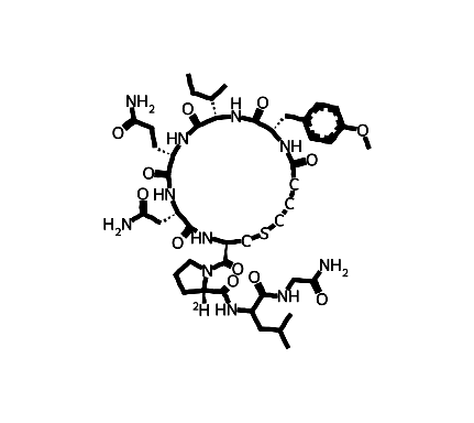 [2H][C@@]1(C(=O)NC(CC(C)C)C(=O)NCC(N)=O)CCCN1C(=O)[C@@H]1CSCCCC(=O)N[C@@H](Cc2ccc(OC)cc2)C(=O)N[C@@H](C(C)CC)C(=O)N[C@@H](CCC(N)=O)C(=O)N[C@@H](CC(N)=O)C(=O)N1